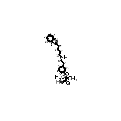 CC(C)(Oc1cccc(CCNCCCCc2nc3ccccc3o2)c1)C(=O)O